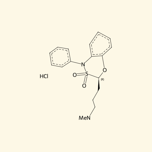 CNCCC[C@@H]1Oc2ccccc2N(c2ccccc2)S1(=O)=O.Cl